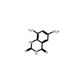 Cc1cc(S(=O)(=O)O)cc2c(=O)[nH]c(=O)[nH]c12